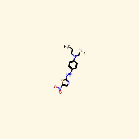 CCCN(CC)c1ccc(/N=N/c2ncc([N+](=O)[O-])s2)cc1